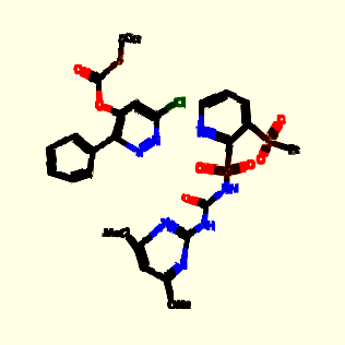 CCCCCCCCSC(=O)Oc1cc(Cl)nnc1-c1ccccc1.CCS(=O)(=O)c1cccnc1S(=O)(=O)NC(=O)Nc1nc(OC)cc(OC)n1